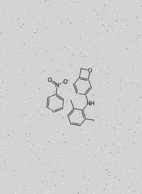 Cc1cccc(C)c1Nc1ccc2c(c1)OC2.O=[N+]([O-])c1ccccc1